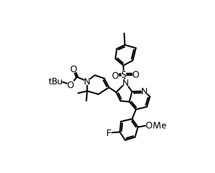 COc1ccc(F)cc1-c1ccnc2c1cc(C1=CCN(C(=O)OC(C)(C)C)C(C)(C)C1)n2S(=O)(=O)c1ccc(C)cc1